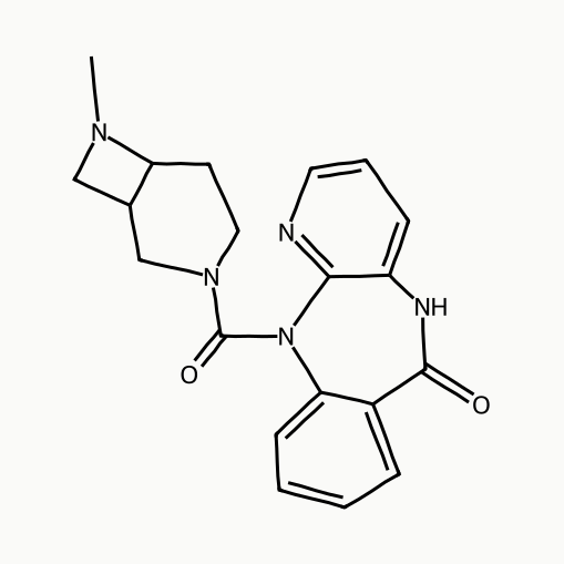 CN1CC2CN(C(=O)N3c4ccccc4C(=O)Nc4cccnc43)CCC21